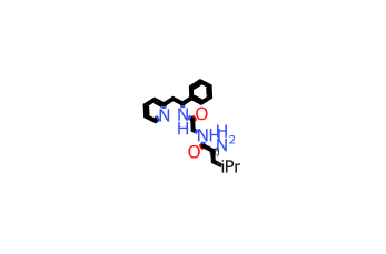 CC(C)C[C@@H](N)C(=O)NCC(=O)NC(Cc1ccccn1)c1ccccc1